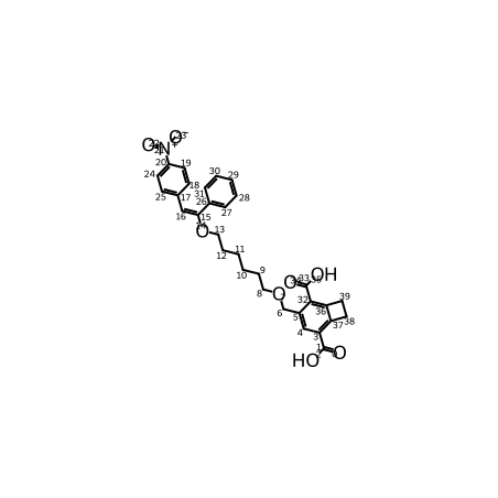 O=C(O)c1cc(COCCCCCCOC(=Cc2ccc([N+](=O)[O-])cc2)c2ccccc2)c(C(=O)O)c2c1CC2